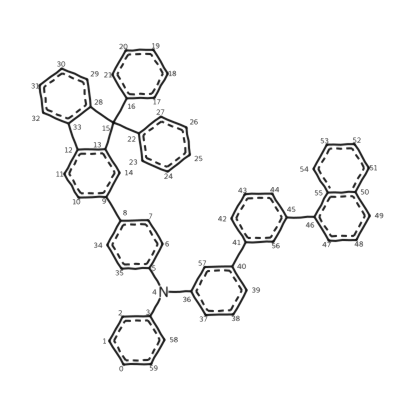 c1ccc(N(c2ccc(-c3ccc4c(c3)C(c3ccccc3)(c3ccccc3)c3ccccc3-4)cc2)c2cccc(-c3cccc(-c4cccc5ccccc45)c3)c2)cc1